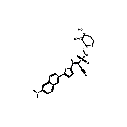 C/C(=C(/C#N)S(=O)(=O)NC[C@H]1OCC[C@@H](O)[C@@H]1O)c1ccc(-c2ccc3cc(N(C)C)ccc3c2)s1